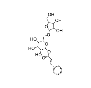 O=C(/C=C/c1ccccc1)OC1OC(COC2OC(CO)C(O)C2O)C(O)C(O)C1O